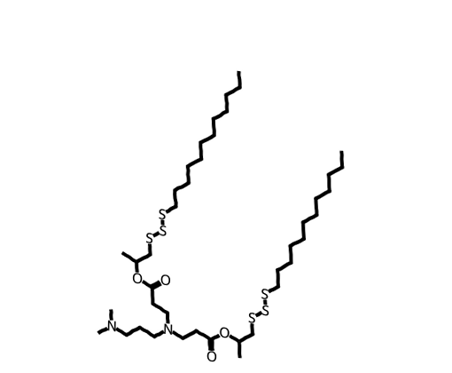 CCCCCCCCCCCCSSSCC(C)OC(=O)CCN(CCCN(C)C)CCC(=O)OC(C)CSSSCCCCCCCCCCCC